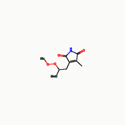 COC(CC1=C(C)C(=O)NC1=O)OOC(C)(C)C